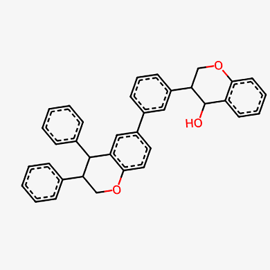 OC1c2ccccc2OCC1c1cccc(-c2ccc3c(c2)C(c2ccccc2)C(c2ccccc2)CO3)c1